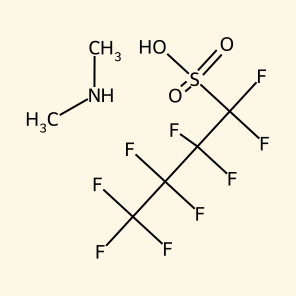 CNC.O=S(=O)(O)C(F)(F)C(F)(F)C(F)(F)C(F)(F)F